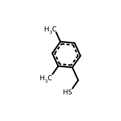 Cc1ccc(CS)c(C)c1